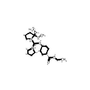 CCOC(=O)[C@H]1CC[C@H](OC(N2CCCC2)N2CCCC2(OC)OC)CC1